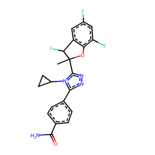 CC1(c2nnc(-c3ccc(C(N)=O)cc3)n2C2CC2)Oc2c(F)cc(F)cc2C1F